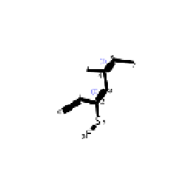 C=C/C(=C\C(C)=C/C)SF